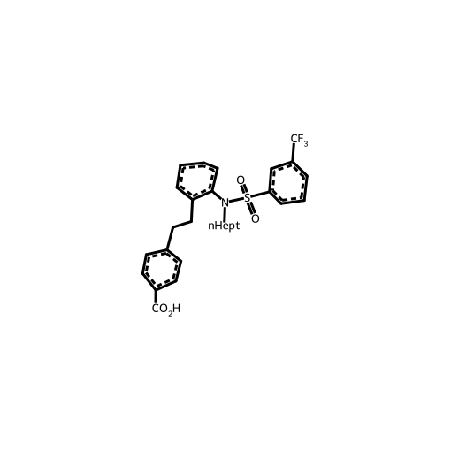 CCCCCCCN(c1ccccc1CCc1ccc(C(=O)O)cc1)S(=O)(=O)c1cccc(C(F)(F)F)c1